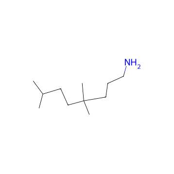 CC(C)CCC(C)(C)CCCN